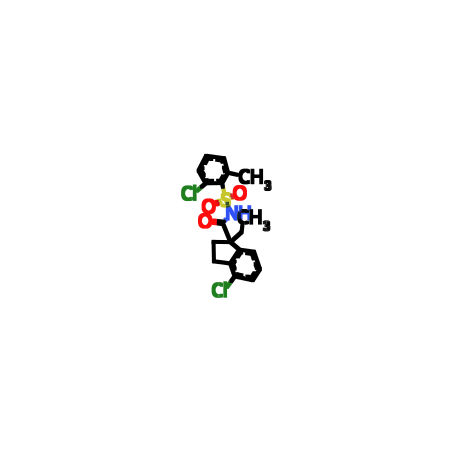 CCC1(C(=O)NS(=O)(=O)c2c(C)cccc2Cl)CCc2c(Cl)cccc21